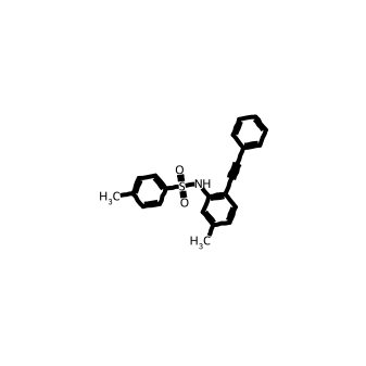 Cc1ccc(S(=O)(=O)Nc2cc(C)ccc2C#Cc2ccccc2)cc1